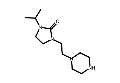 CC(C)N1CCN(CCN2CCNCC2)C1=O